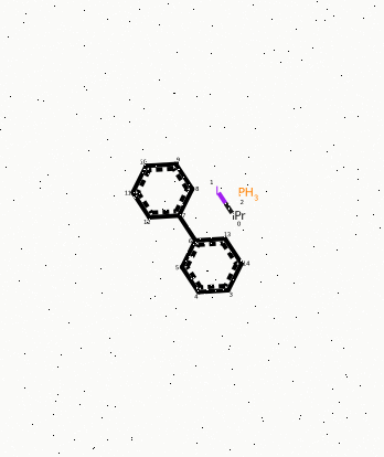 CC(C)I.P.c1ccc(-c2ccccc2)cc1